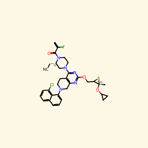 C=C(F)C(=O)N1CCN(c2nc(OCC3S[C@]3(C)OC3CC3)nc3c2CCN(c2cccc4cccc(Cl)c24)C3)C[C@@H]1CC#N